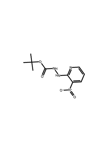 CC(C)(C)OC(=O)NNc1ncccc1[N+](=O)[O-]